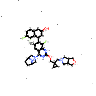 N#Cc1cc2c(N3CC4CCC(C3)N4)nc(OCC3(CN4CC5COCC5C4)CC3)nc2c(F)c1-c1cc(O)cc2ccc(F)c(F)c12